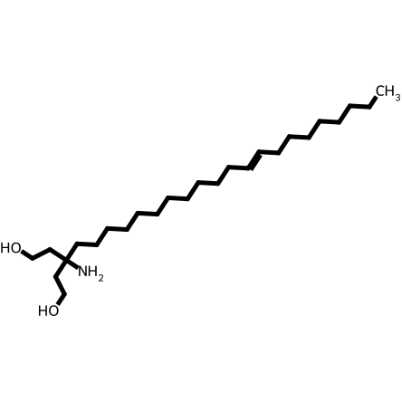 CCCCCCCCC=CCCCCCCCCCCCC(N)(CCO)CCO